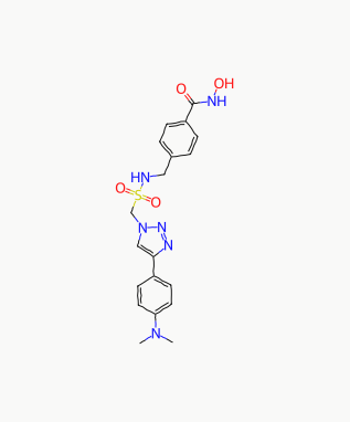 CN(C)c1ccc(-c2cn(CS(=O)(=O)NCc3ccc(C(=O)NO)cc3)nn2)cc1